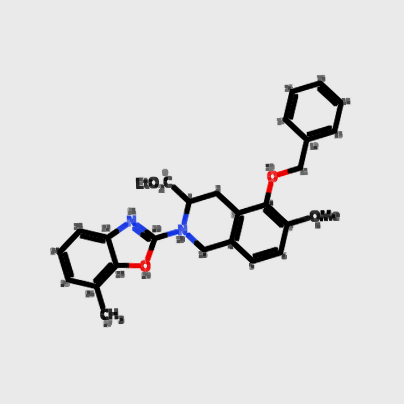 CCOC(=O)C1Cc2c(ccc(OC)c2OCc2ccccc2)CN1c1nc2cccc(C)c2o1